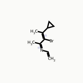 C=C/N=C(C)\C(Br)=C(/C)C1CC1